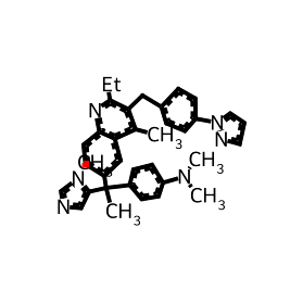 CCc1nc2ccc(C(C)(c3ccc(N(C)C)cc3)c3cncn3C)cc2c(C)c1Cc1ccc(-n2cccn2)cc1